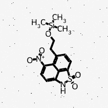 C[Si](C)(C)OCCc1ccc2c3c(ccc([N+](=O)[O-])c13)NS2(=O)=O